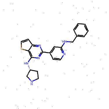 c1ccc(CNc2cc(-c3nc(N[C@@H]4CCNC4)c4sccc4n3)ccn2)cc1